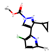 Cc1ccc(Cl)c(-c2cn(C(=O)OC(C)(C)C)nc2C2CC2)n1